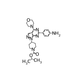 CC(C)OC(=O)N1CCC(n2ncc3c(N4CCOCC4)nc(-c4ccc(N)cc4)nc32)CC1